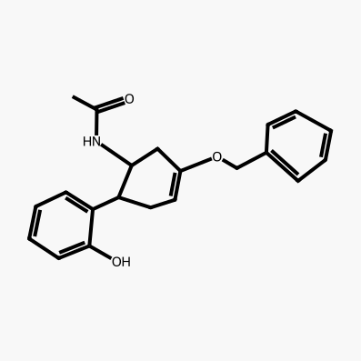 CC(=O)NC1CC(OCc2ccccc2)=CCC1c1ccccc1O